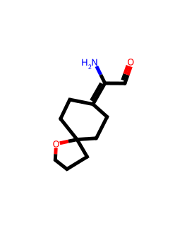 NC(C=O)=C1CCC2(CCCO2)CC1